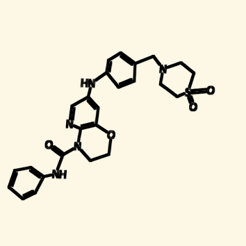 O=C(Nc1ccccc1)N1CCOc2cc(Nc3ccc(CN4CCS(=O)(=O)CC4)cc3)cnc21